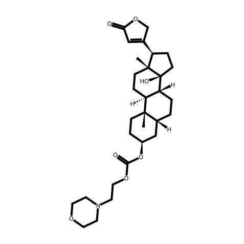 C[C@]12CC[C@H](OC(=O)OCCN3CCOCC3)C[C@H]1CC[C@@H]1[C@@H]2CC[C@]2(C)[C@@H](C3=CC(=O)OC3)CC[C@]12O